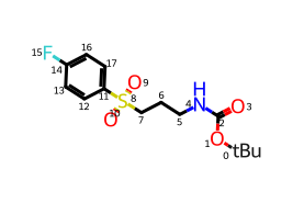 CC(C)(C)OC(=O)NCCCS(=O)(=O)c1ccc(F)cc1